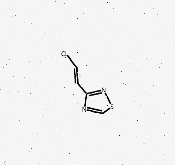 Cl/C=C/c1ncsn1